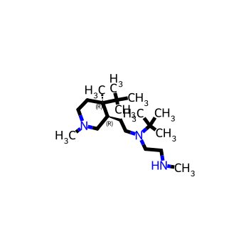 CNCCN(CC[C@H]1CN(C)CC[C@@]1(C)C(C)(C)C)C(C)(C)C